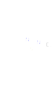 CCC=Nc1nc(-c2ccccc2)cs1